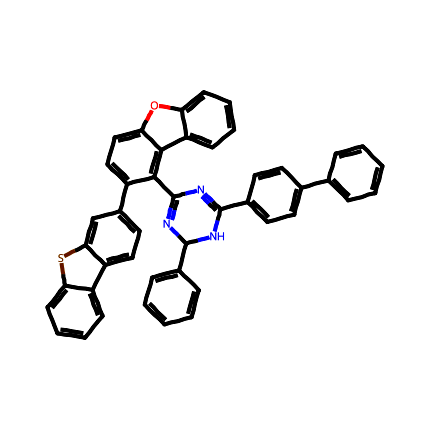 c1ccc(-c2ccc(C3=NC(c4c(-c5ccc6c(c5)sc5ccccc56)ccc5oc6ccccc6c45)=NC(c4ccccc4)N3)cc2)cc1